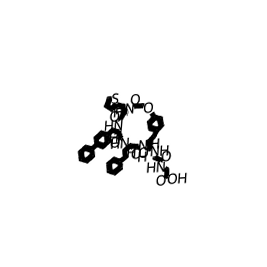 O=C(O)CNC(=O)CNC(=O)[C@@H]1Cc2ccc(cc2)OCC(=O)N[C@@H](Cc2cccs2)C(=O)N[C@H](Cc2ccc(-c3ccccc3)cc2)C(=O)N[C@@H](CCc2ccccc2)C(=O)N1